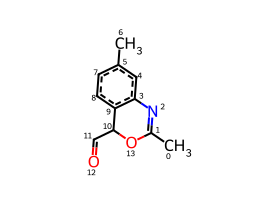 CC1=Nc2cc(C)ccc2C(C=O)O1